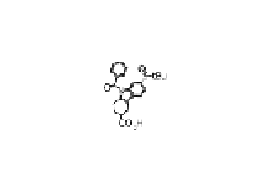 CC(C)(C)[S+]([O-])c1ccc2c3c(n(C(=O)c4ccccc4)c2c1)CCC(C(=O)O)C3